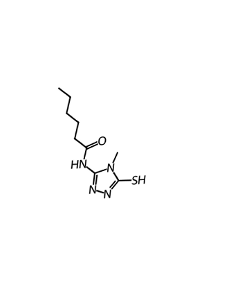 CCCCCC(=O)Nc1nnc(S)n1C